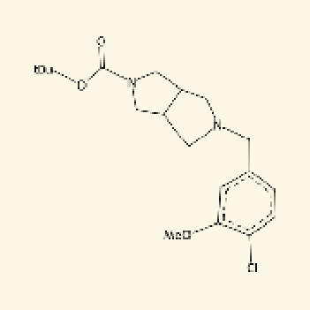 COc1cc(CN2CC3CN(C(=O)OC(C)(C)C)CC3C2)ccc1Cl